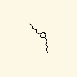 CCCCCC1C=CC(CCCCC)C1